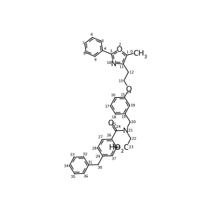 Cc1oc(-c2ccccc2)nc1CCOc1cccc(CN(CC(=O)O)C(=O)c2ccc(Cc3ccccc3)cc2)c1